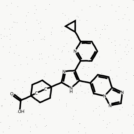 O=C(O)C12CCC(c3nc(-c4cccc(C5CC5)n4)c(-c4ccc5ncnn5c4)[nH]3)(CC1)CC2